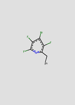 CC(C)Cc1nc(F)c(F)c(Br)c1F